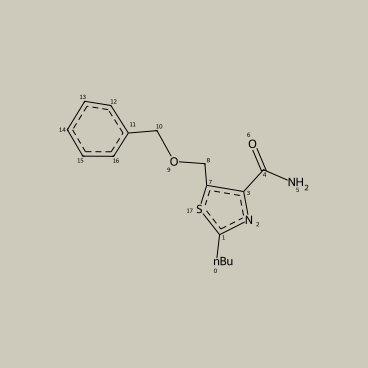 CCCCc1nc(C(N)=O)c(COCc2ccccc2)s1